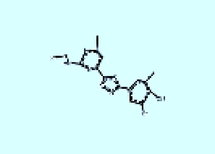 CCc1cc(-c2nnc(-c3cc(C)nc(NCC(C)C)n3)s2)cc(C)c1O